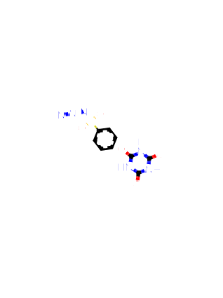 O=c1[nH]c(=O)[nH]c(=O)[nH]1.[N-]=[N+]=NS(=O)(=O)c1ccccc1